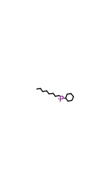 CCCCCCCC[P]C1CCCCC1